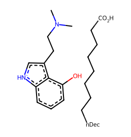 CCCCCCCCCCCCCCCCCC(=O)O.CN(C)CCc1c[nH]c2cccc(O)c12